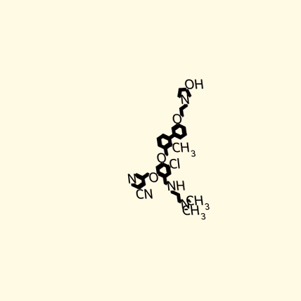 Cc1c(COc2cc(OCc3cncc(C#N)c3)c(CNCCCN(C)C)cc2Cl)cccc1-c1cccc(OCCCN2CCC(O)C2)c1